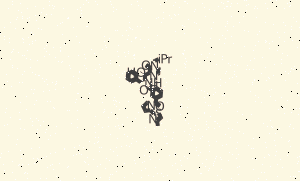 Cc1csc(C2CCCN2C(=O)c2cccc(C(=O)N[C@@H](Cc3ccccc3)[C@H](O)C3NCCN(CC(C)C)C3=O)c2)n1